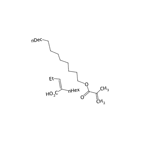 C=C(C)C(=O)OCCCCCCCCCCCCCCCCCC.CCC=C(CCCCCC)C(=O)O